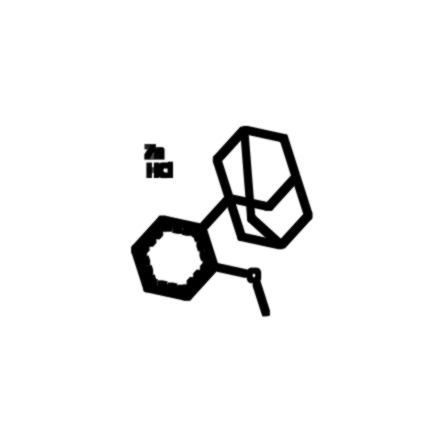 COc1ccccc1C12CC3CC(CC(C3)C1)C2.Cl.[Zn]